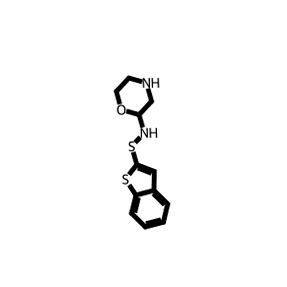 c1ccc2sc(SNC3CNCCO3)cc2c1